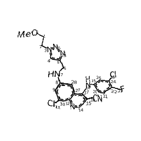 COCCn1cc(CNc2cc(Cl)c3ncc(C#N)c(Nc4ccc(F)c(Cl)c4)c3c2)nn1